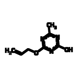 C=CCOc1nc(C)nc(O)n1